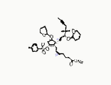 CC#CCC(C)(C)[C@@H](/C=C/[C@@H]1[C@@H](C/C=C\CCCC(=O)OC)[C@H](OS(=O)(=O)c2ccc(C)cc2)C[C@H]1OC1CCCCO1)OC1CCCCO1